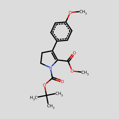 COC(=O)C1=C(c2ccc(OC)cc2)CCN1C(=O)OC(C)(C)C